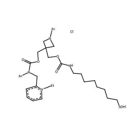 CCCCCCCCCCCCCCCCCCNC(=O)OCC1(COC(=O)N(Cc2cccc[n+]2CC)C(C)=O)CN(C(C)=O)C1.[Cl-]